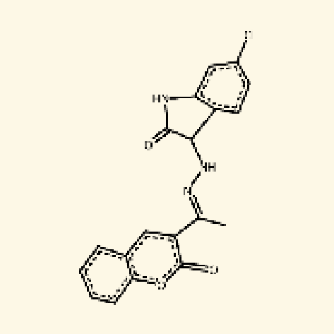 CC(=NNC1C(=O)Nc2cc(Cl)ccc21)c1cc2ccccc2oc1=O